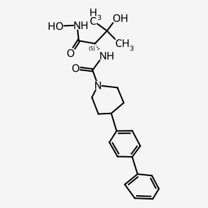 CC(C)(O)[C@H](NC(=O)N1CCC(c2ccc(-c3ccccc3)cc2)CC1)C(=O)NO